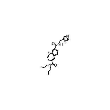 CCCN(CCC)C(=O)C1=Cc2ccc(C(=O)NCc3cncs3)cc2N=CC1